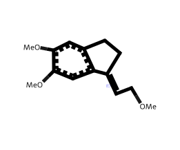 COC/C=C1\CCc2cc(OC)c(OC)cc21